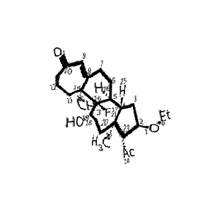 CCO[C@@H]1C[C@H]2[C@@H]3CCC4=CC(=O)CC[C@]4(C)[C@@]3(F)[C@@H](O)C[C@]2(C)[C@H]1C(C)=O